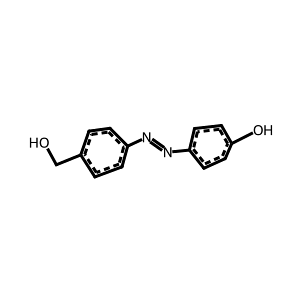 OCc1ccc(N=Nc2ccc(O)cc2)cc1